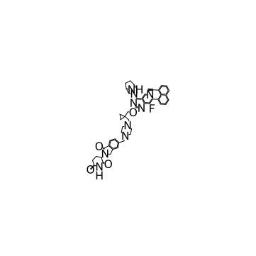 C#Cc1cccc2cccc(-c3ncc4c(N5CC6CCC(C5)N6)nc(OCC5(CN6CCN(Cc7ccc8c(c7)CN(C7CCC(=O)NC7=O)C8=O)CC6)CC5)nc4c3F)c12